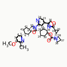 COc1ccc([C@H]2CC[C@H](CN(c3cc(-c4coc(C5CC5)n4)ccn3)C(=O)[C@H]3CC[C@H](OC(=O)N4CCC4)CC3)CC2)nc1C